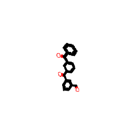 O=Cc1cccc(C(=O)C2C=CC=C(C(=O)c3ccccc3)C2)c1